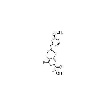 COc1cccc(CN2CCc3cc(C(=O)NO)cc(F)c3CC2)c1